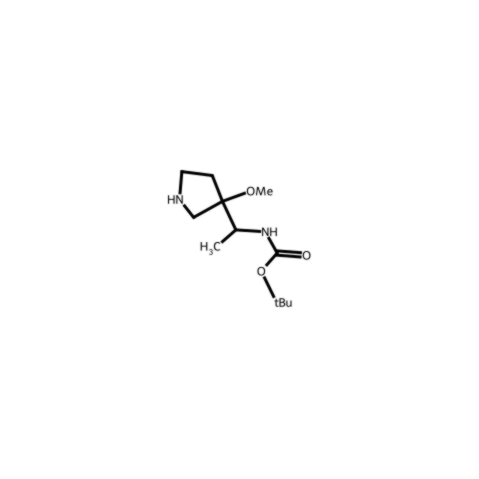 COC1(C(C)NC(=O)OC(C)(C)C)CCNC1